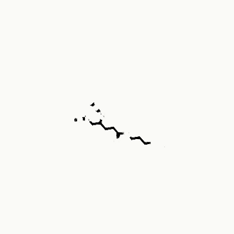 CCCCOC(=O)CCC(CN=C=O)N=C=O